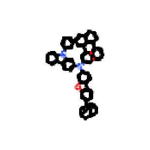 C1=C2c3ccc(C45CC6CC(CC(C6)C4)C5)cc3OC2CC(N(c2cccc(-c3cccc4cccc(-c5ccccc5)c34)c2)c2ccc3c4ccccc4n(-c4ccccc4)c3c2)=C1